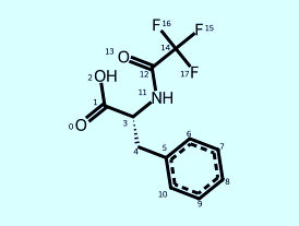 O=C(O)[C@@H](Cc1ccccc1)NC(=O)C(F)(F)F